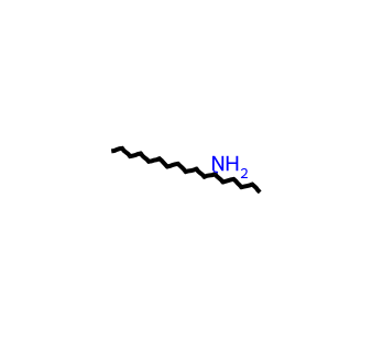 CCCCCCCCCCCC(N)CCCCC